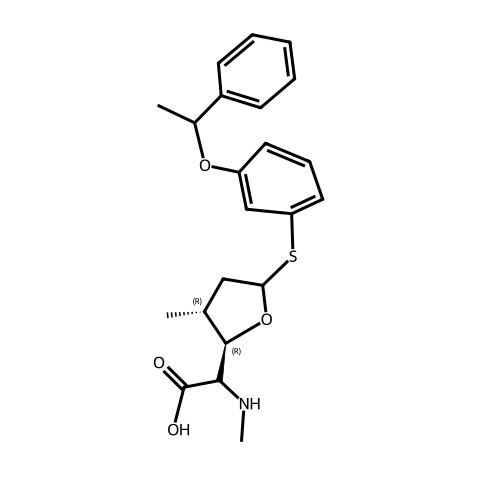 CNC(C(=O)O)[C@@H]1OC(Sc2cccc(OC(C)c3ccccc3)c2)C[C@H]1C